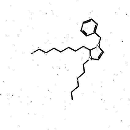 CCCCCCCCC1N(CCCCCC)C=CN1Cc1ccccc1